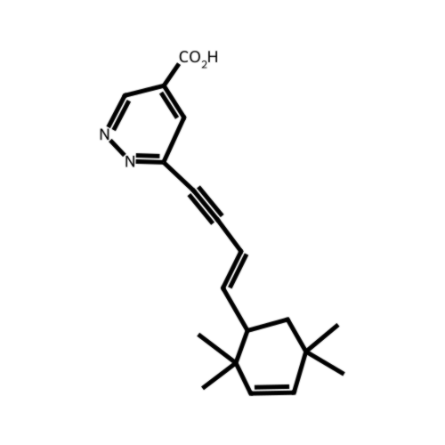 CC1(C)C=CC(C)(C)C(C=CC#Cc2cc(C(=O)O)cnn2)C1